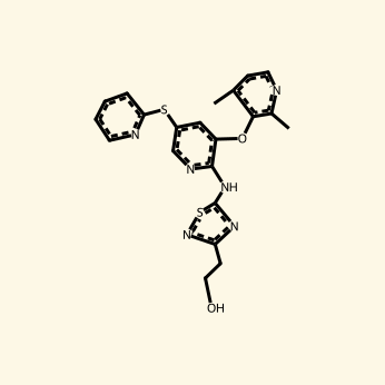 Cc1ccnc(C)c1Oc1cc(Sc2ccccn2)cnc1Nc1nc(CCO)ns1